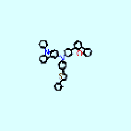 C1=CC(n2c3ccccc3c3cc(N(c4ccc(-c5ccc(-c6ccccc6)s5)cc4)c4ccc(-c5cccc6c5oc5ccccc56)cc4)ccc32)=CCC1